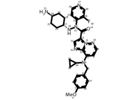 COc1ccc(CN(c2ccnn3c(C(=O)N(N[C@H]4CC[C@H](N)CC4)c4ccncc4F)cnc23)C2CC2)cc1